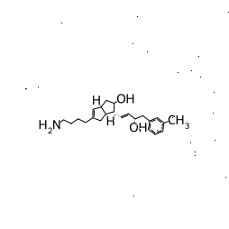 Cc1cccc(C[C@H](O)/C=C/[C@@H]2[C@H]3CC(CCCCN)=C[C@H]3C[C@H]2O)c1